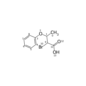 CC(Oc1ccccc1)C(Br)C(=O)O